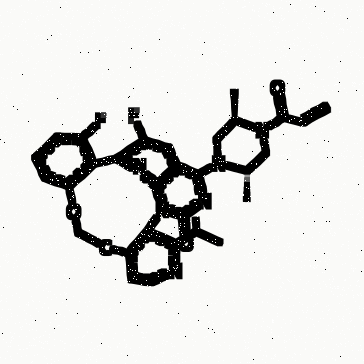 C=CC(=O)N1C[C@H](C)N(c2nc(=O)n3c4nc(c(F)cc24)-c2c(F)cccc2OCCc2ccnc(C(C)C)c2-3)C[C@H]1C